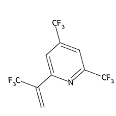 C=C(c1cc(C(F)(F)F)cc(C(F)(F)F)n1)C(F)(F)F